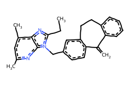 C=C1c2ccccc2CCc2cc(Cn3c(CC)nc4c(C)cc(C)nc43)ccc21